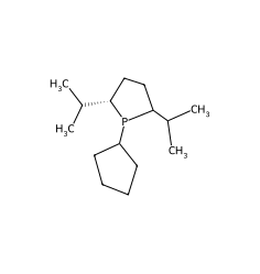 CC(C)C1CC[C@@H](C(C)C)P1C1CCCC1